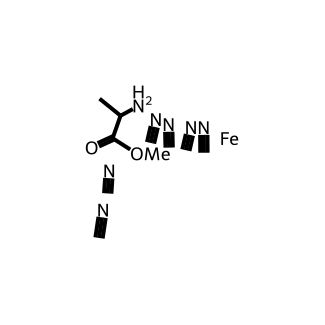 C#N.C#N.C#N.C#N.C#N.C#N.COC(=O)C(C)N.[Fe]